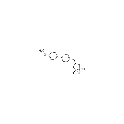 COc1ccc(-c2ccc(C[C@H]3C[C@@H]4O[C@@H]4C3)cc2)cc1